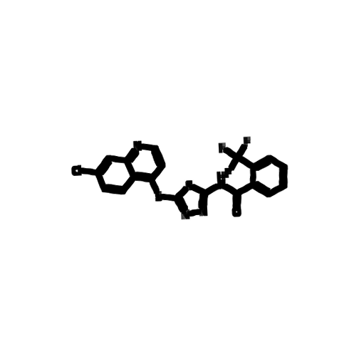 O=C(Nc1nnc(Sc2ccnc3cc(Cl)ccc23)s1)c1ccccc1C(F)(F)F